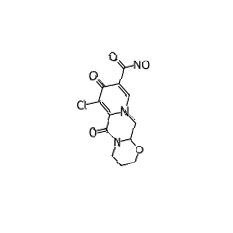 O=NC(=O)c1cn2c(c(Cl)c1=O)C(=O)N1CCCOC1C2